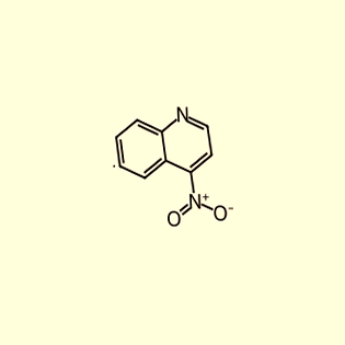 O=[N+]([O-])c1ccnc2cc[c]cc12